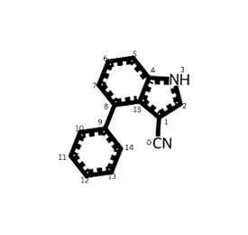 N#Cc1c[nH]c2cccc(-c3ccccc3)c12